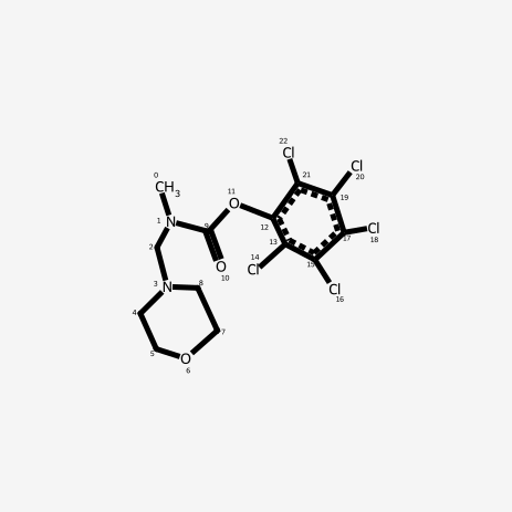 CN(CN1CCOCC1)C(=O)Oc1c(Cl)c(Cl)c(Cl)c(Cl)c1Cl